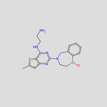 Cc1cc2nc(N3CC[S+]([O-])c4ccccc4C3)nc(NCCN)c2s1